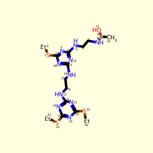 CCSc1nc(NCCNB(C)O)nc(NCCNc2nc(SCC)nc(SCC)n2)n1